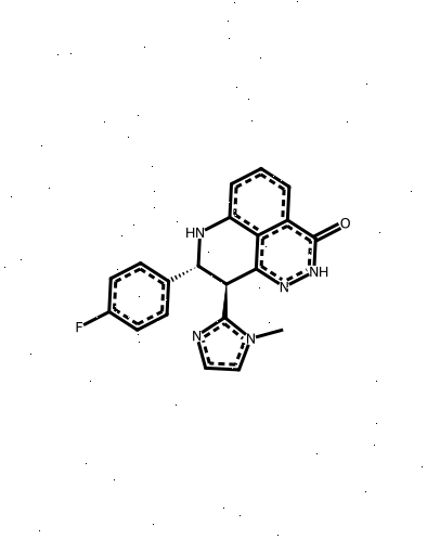 Cn1ccnc1[C@@H]1c2n[nH]c(=O)c3cccc(c23)N[C@H]1c1ccc(F)cc1